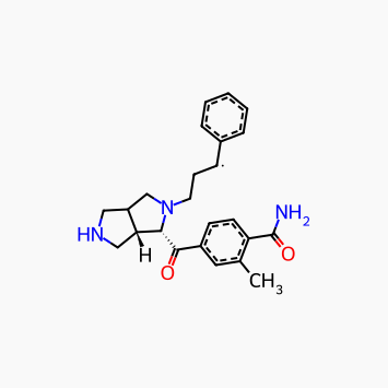 Cc1cc(C(=O)[C@@H]2[C@@H]3CNCC3CN2CC[CH]c2ccccc2)ccc1C(N)=O